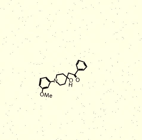 COc1cccc(N2CCC(O)(CC(=O)c3ccccc3)CC2)c1